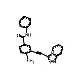 Cc1ccc(C(=O)Nc2ccccc2)cc1C#Cc1nnc2ccccn12